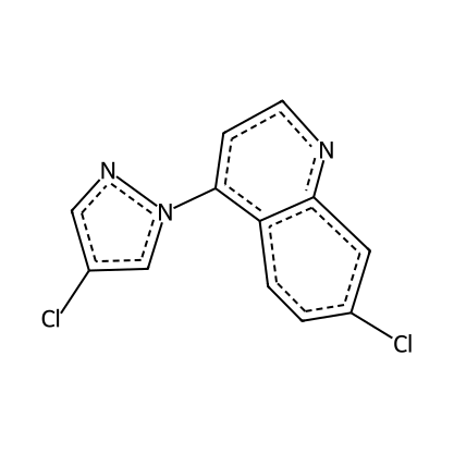 Clc1ccc2c(-n3cc(Cl)cn3)ccnc2c1